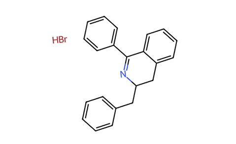 Br.c1ccc(CC2Cc3ccccc3C(c3ccccc3)=N2)cc1